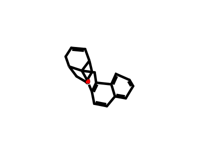 C1=CC2CCCC(C1)C21COc2ccc3ccccc3c2C1